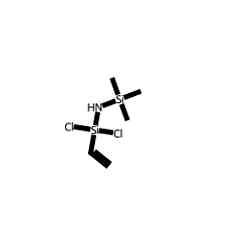 C=C[Si](Cl)(Cl)N[Si](C)(C)C